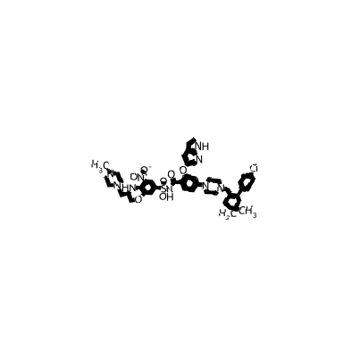 CN1CCN(CC2COc3cc(S(=O)(=O)NC(=O)c4ccc(N5CCN(CC6=C(c7ccc(Cl)cc7)CC(C)(C)CC6)CC5)cc4Oc4cnc5[nH]ccc5c4)cc([N+](=O)[O-])c3N2)CC1